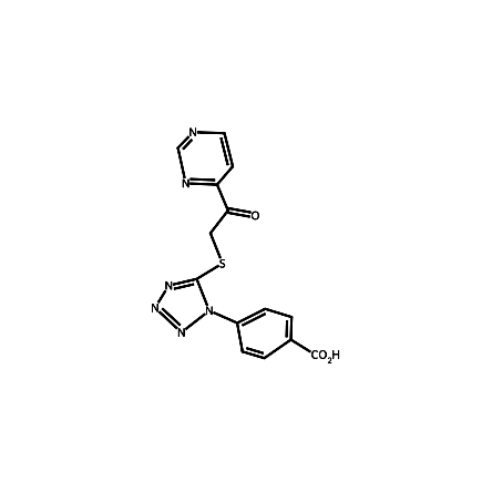 O=C(O)c1ccc(-n2nnnc2SCC(=O)c2ccncn2)cc1